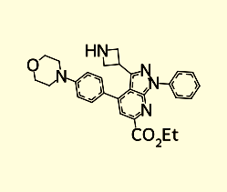 CCOC(=O)c1cc(-c2ccc(N3CCOCC3)cc2)c2c(C3CNC3)nn(-c3ccccc3)c2n1